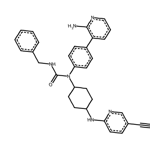 N#Cc1ccc(NC2CCC(N(C(=O)NCc3ccccc3)c3ccc(-c4cccnc4N)cc3)CC2)nc1